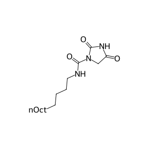 CCCCCCCCCCCCNC(=O)N1CC(=O)NC1=O